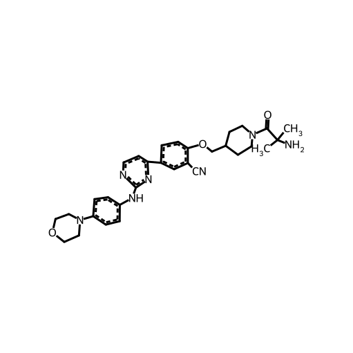 CC(C)(N)C(=O)N1CCC(COc2ccc(-c3ccnc(Nc4ccc(N5CCOCC5)cc4)n3)cc2C#N)CC1